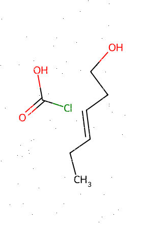 CCC=CCCO.O=C(O)Cl